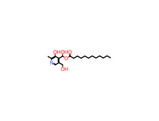 CCCCCCCCCCCC(=O)OC(O)c1c(CO)cnc(C)c1O